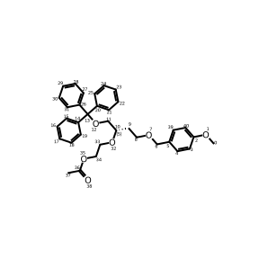 COc1ccc(COCC[C@@H](COC(c2ccccc2)(c2ccccc2)c2ccccc2)OCCOC(C)=O)cc1